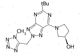 Cn1nnnc1Cn1nc2nc(C(C)(C)C)nc(N3CC[C@@H](O)C3)c2n1